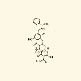 CC(NCc1cc(O)c2c(c1Cl)CC1C[C@H]3CC(O)=C(C(N)=O)C(=O)[C@@]3(O)C(O)=C1C2=O)c1ccccc1